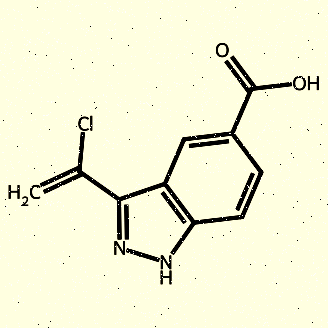 C=C(Cl)c1n[nH]c2ccc(C(=O)O)cc12